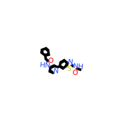 CC(=O)Nc1nc2ccc(-c3cc(NC(=O)Cc4ccccc4)ccn3)cc2s1